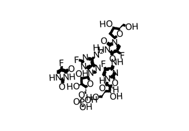 N=c1nc2n(cc1F)[C@@H]1O[C@H](CO)[C@@H](O)[C@@H]1O2.Nc1nc(F)nc2c1ncn2[C@@H]1O[C@H](COP(=O)(O)O)[C@@H](O)[C@@H]1O.O=c1[nH]c(=O)n([C@H]2C[C@H](O)[C@@H](CO)O2)cc1F.O=c1[nH]cc(F)c(=O)[nH]1